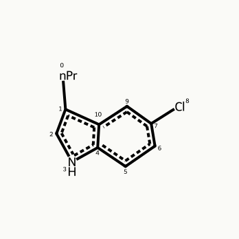 C[CH]Cc1c[nH]c2ccc(Cl)cc12